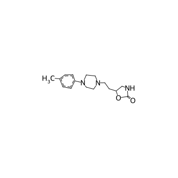 Cc1ccc(N2CCN(CCC3CNC(=O)O3)CC2)cc1